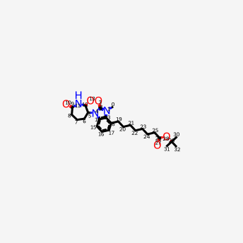 Cn1c(=O)n(C2CCCC(=O)NC2=O)c2cccc(CCCCCCCC(=O)OC(C)(C)C)c21